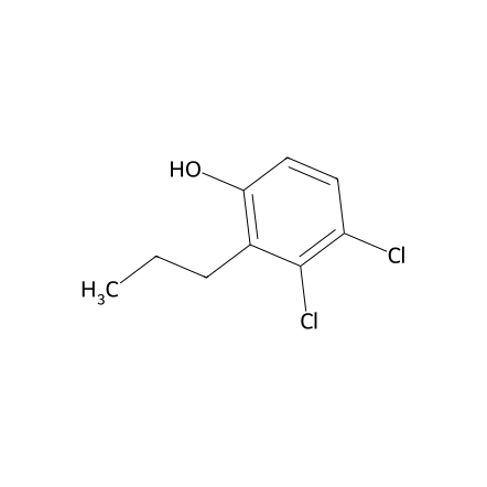 CCCc1c(O)ccc(Cl)c1Cl